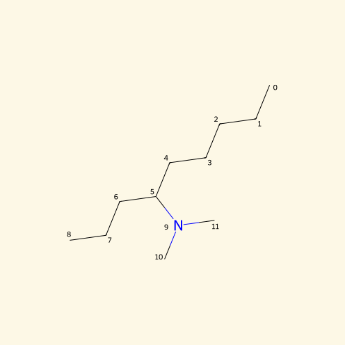 CCCCCC(CCC)N(C)C